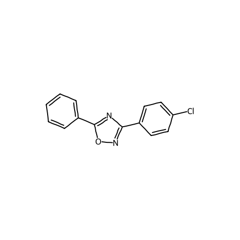 Clc1ccc(-c2noc(-c3ccccc3)n2)cc1